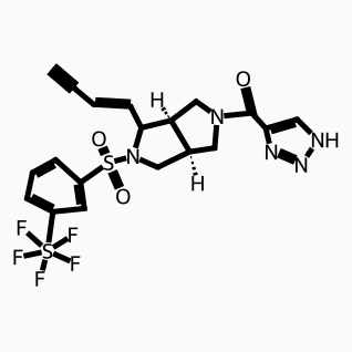 C#C/C=C/C1[C@H]2CN(C(=O)c3c[nH]nn3)C[C@H]2CN1S(=O)(=O)c1cccc(S(F)(F)(F)(F)F)c1